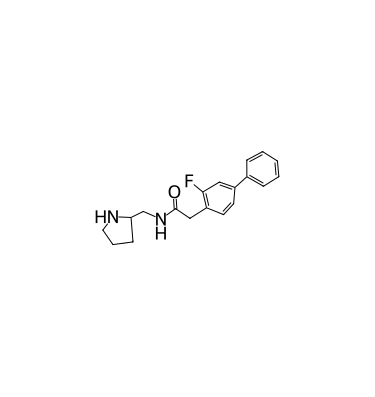 O=C(Cc1ccc(-c2ccccc2)cc1F)NCC1CCCN1